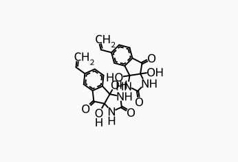 C=Cc1ccc2c(c1)C(=O)C1(O)NC(=O)NC21O.C=Cc1ccc2c(c1)C1(O)NC(=O)NC1(O)C2=O